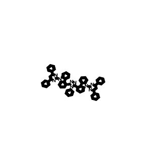 c1ccc(-c2cc(-c3ccccc3)nc(-n3c4ccccc4c4c(-c5nnc(-c6cccc7c6c6ccccc6n7-c6nc(-c7ccccc7)cc(-c7ccccc7)n6)n5-c5ccccc5)cccc43)n2)cc1